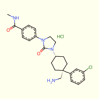 CNC(=O)c1ccc(N2CCN([C@H]3CC[C@](CN)(c4cccc(Cl)c4)CC3)C2=O)cc1.Cl